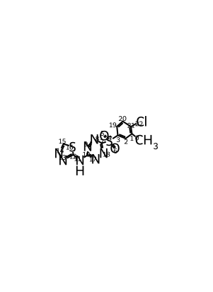 Cc1cc(S(=O)(=O)c2nnc(Nc3nncs3)nn2)ccc1Cl